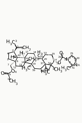 C=C(C)[C@@H]1CC[C@]2(COC(C)=O)CC[C@]3(C)[C@H](CCC4[C@@]5(C)CC[C@H](OC(=O)n6ccnc6C)C(C)(C)[C@@H]5CC[C@]43C)[C@@H]12